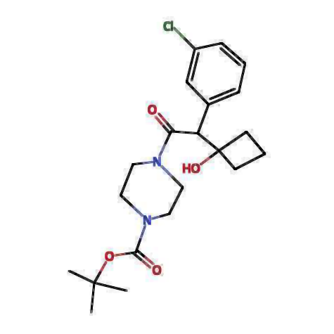 CC(C)(C)OC(=O)N1CCN(C(=O)C(c2cccc(Cl)c2)C2(O)CCC2)CC1